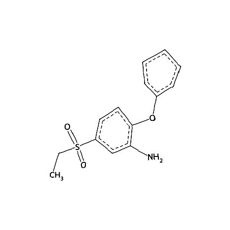 CCS(=O)(=O)c1ccc(Oc2ccccc2)c(N)c1